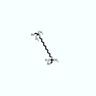 CC(=O)CC(C)(C)SCCCCCCCCCCCSC(C)(C)CC(C)=O